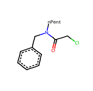 CCCCCN(Cc1ccccc1)C(=O)CCl